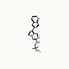 CC(C)(P)CNc1ncc2c(-c3ccc4ncccc4c3)ccn2n1